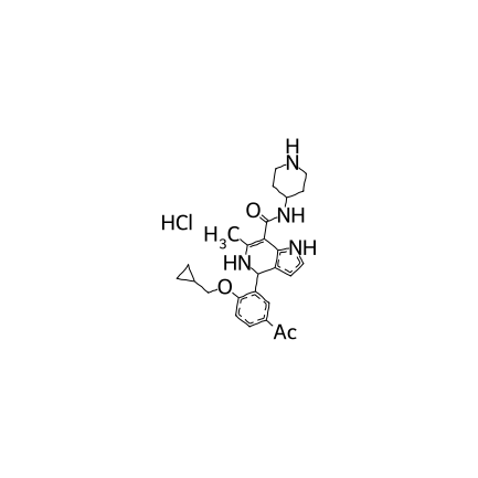 CC(=O)c1ccc(OCC2CC2)c(C2NC(C)=C(C(=O)NC3CCNCC3)c3[nH]ccc32)c1.Cl